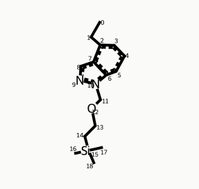 CCc1cccc2c1cnn2COCC[Si](C)(C)C